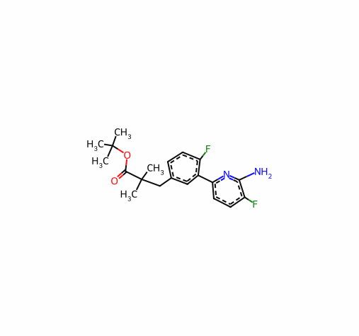 CC(C)(C)OC(=O)C(C)(C)Cc1ccc(F)c(-c2ccc(F)c(N)n2)c1